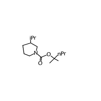 CCCC(C)(C)OC(=O)N1CCCC(C(C)C)C1